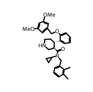 COc1cc(COc2ccccc2[C@H]2CCNC[C@@H]2C(=O)N(Cc2cccc(C)c2C)C2CC2)cc(OC)c1